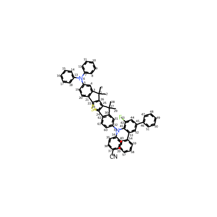 CC1(C)c2cc(N(c3ccccc3)c3ccccc3)ccc2-c2sc3c(c21)C(C)(C)c1cc(N(c2ccc(C#N)cc2)c2c(F)cc(-c4ccccc4)cc2-c2ccccc2)ccc1-3